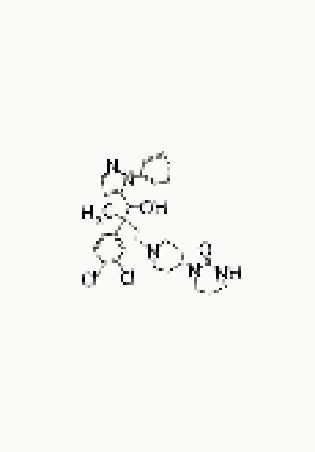 CC(CCN1CCC(N2CCCNC2=O)CC1)(c1ccc(Cl)c(Cl)c1)C(O)c1ccnn1-c1ccccc1